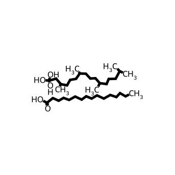 CC(C)CCCC(C)CCCC(C)CCCC(C)CC(O)(O)O.CCCCCCCCCCCCCCCC(=O)O